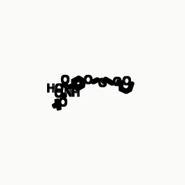 CC(C)(C)OC(=O)NC(C(=O)O)c1ccc(OCCOCCOC2CCCCO2)cc1